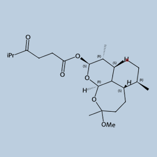 COC1(C)CC[C@@H]2C3[C@H](O[C@@H](OC(=O)CCC(=O)C(C)C)[C@H](C)[C@@H]3CC[C@H]2C)O1